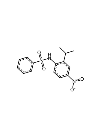 CC(C)c1cc([N+](=O)[O-])ccc1NS(=O)(=O)c1ccccc1